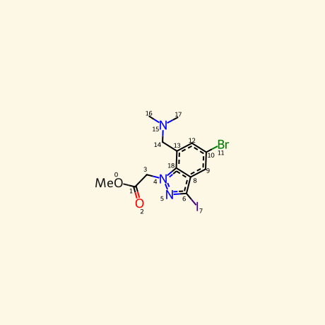 COC(=O)Cn1nc(I)c2cc(Br)cc(CN(C)C)c21